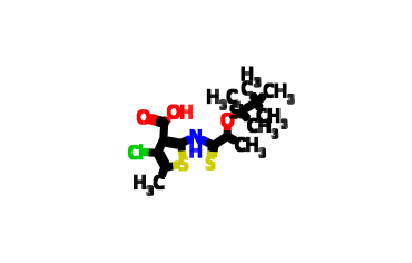 Cc1sc(NC(=S)C(C)O[Si](C)(C)C(C)(C)C)c(C(=O)O)c1Cl